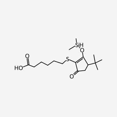 C[SiH](C)OC1=C(SCCCCCC(=O)O)C(=O)CC1C(C)(C)C